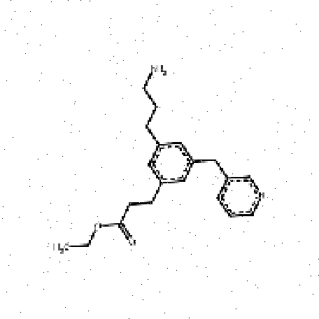 CCOC(=O)CCc1cc(CCCN)cc(Cc2cccnc2)c1